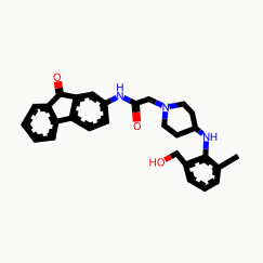 Cc1cccc(CO)c1NC1CCN(CC(=O)Nc2ccc3c(c2)C(=O)c2ccccc2-3)CC1